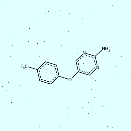 Nc1ncc(Oc2ccc(C(F)(F)F)cc2)cn1